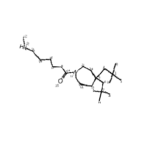 CC(C)(C)CC1(CC(C)(C)C)CCN(C(=O)CCCCCNI)CC1